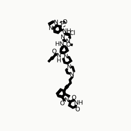 CC#CC(=O)Nc1cc(Nc2ncc(Cl)c(Nc3ccc4nccnc4c3P(C)(C)=O)n2)c(OC)cc1N1CCC(N2CCN(CCCC#Cc3cccc4c3CN(C3CCC(=O)NC3=O)C4=O)CC2)CC1